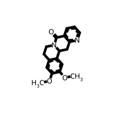 COc1cc2c(cc1OC)C1Cc3ncccc3C(=O)N1CC2